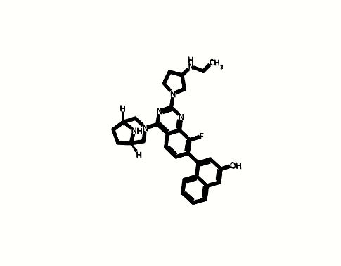 CCNC1CCN(c2nc(N3C[C@H]4CC[C@@H](C3)N4)c3ccc(-c4cc(O)cc5ccccc45)c(F)c3n2)C1